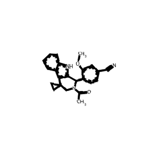 COc1cc(C#N)ccc1C1c2[nH]c3ccccc3c2C2(CC2)CN1C(C)=O